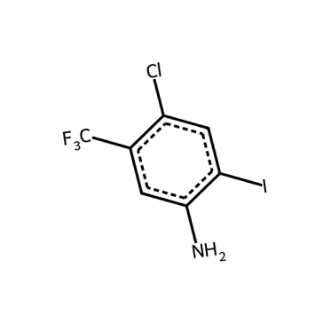 Nc1cc(C(F)(F)F)c(Cl)cc1I